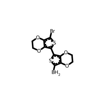 Bc1sc(-c2sc(Br)c3c2OCCO3)c2c1OCCO2